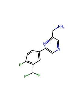 NCc1cncc(-c2ccc(F)c(C(F)F)c2)n1